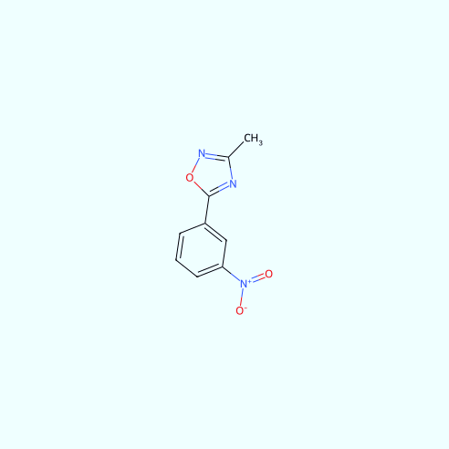 Cc1noc(-c2cccc([N+](=O)[O-])c2)n1